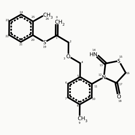 C=C(COCc1ccc(C)cc1N1C(=N)SCC1=O)Sc1ccccc1C